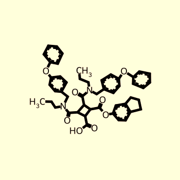 CCCN(Cc1ccc(Oc2ccccc2)cc1)C(=O)C1C(C(=O)O)C(C(=O)Oc2ccc3c(c2)CCC3)C1C(=O)N(CCC)Cc1ccc(Oc2ccccc2)cc1